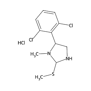 CSC1NCC(c2c(Cl)cccc2Cl)N1C.Cl